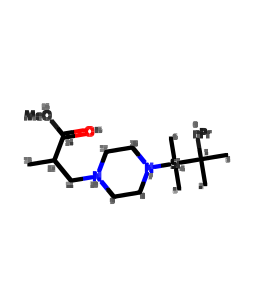 CCCC(C)(C)[Si](C)(C)N1CCN(CC(C)C(=O)OC)CC1